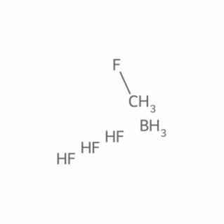 B.CF.F.F.F